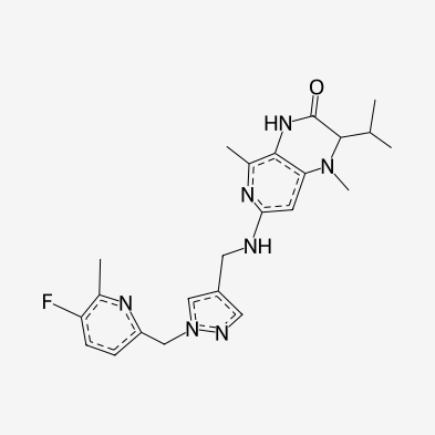 Cc1nc(Cn2cc(CNc3cc4c(c(C)n3)NC(=O)C(C(C)C)N4C)cn2)ccc1F